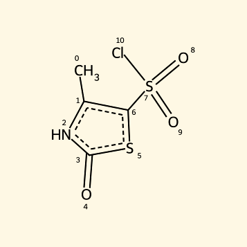 Cc1[nH]c(=O)sc1S(=O)(=O)Cl